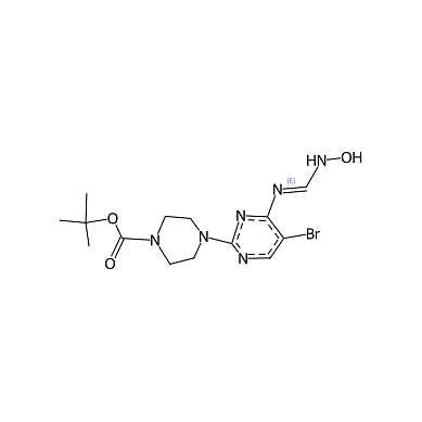 CC(C)(C)OC(=O)N1CCN(c2ncc(Br)c(/N=C/NO)n2)CC1